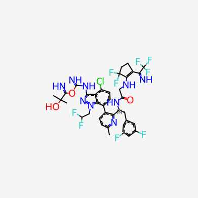 Cc1ccc(-c2ccc(Cl)c3c(NC(=N)OC(=N)C(C)(C)O)nn(CC(F)F)c23)c([C@H](Cc2cc(F)cc(F)c2)NC(=O)CNC2=C(C(=N)C(F)(F)F)CCC2(F)F)n1